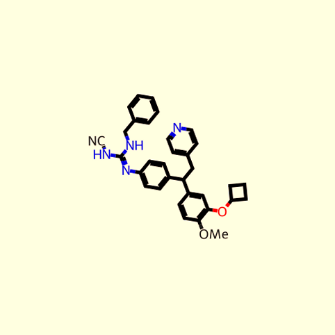 COc1ccc(C(Cc2ccncc2)c2ccc(N=C(NC#N)NCc3ccccc3)cc2)cc1OC1CCC1